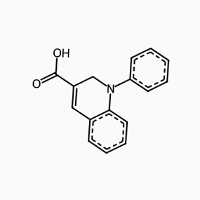 O=C(O)C1=Cc2ccccc2N(c2ccccc2)C1